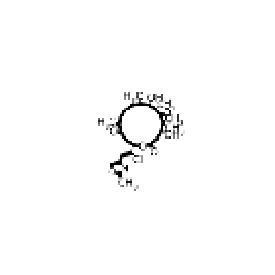 Cc1nc(C=C(Cl)[C@@H]2CC3OC3(C)CCC[C@H](C)[C@H](O)[C@@H](C)C(=O)C(C)(C)[C@@H](O)CC(=O)O2)co1